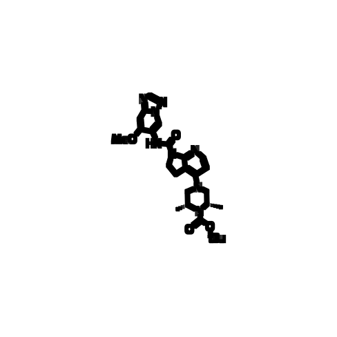 COc1cc2ncnn2cc1NC(=O)N1CCc2c(N3C[C@@H](C)N(C(=O)OC(C)(C)C)[C@@H](C)C3)ccnc21